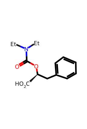 CCN(CC)C(=O)O[C@@H](Cc1ccccc1)C(=O)O